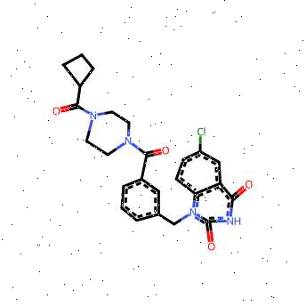 O=C(c1cccc(Cn2c(=O)[nH]c(=O)c3cc(Cl)ccc32)c1)N1CCN(C(=O)C2CCC2)CC1